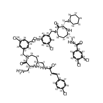 NC[C@@H]1N[C@H](CNC(=O)C=Cc2ccc(Cl)cc2)CCN(Cc2cc(Cl)cc(Cl)c2)C1=O.O=C(NC[C@@H]1CCN(Cc2cc(Cl)cc(Cl)c2)C(=O)[C@H](CN2CCCCC2)N1)c1ccc(Cl)c(Cl)c1